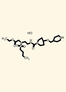 CCCCS(=O)(=O)N(CCNC(=O)N1CCC(OCC2CCNCC2)CC1)CC(=O)OCC.Cl